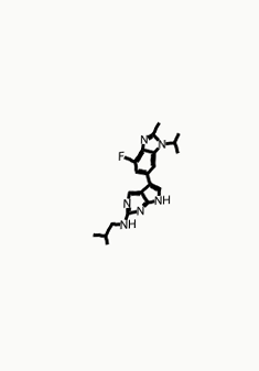 Cc1nc2c(F)cc(-c3c[nH]c4nc(NCC(C)C)ncc34)cc2n1C(C)C